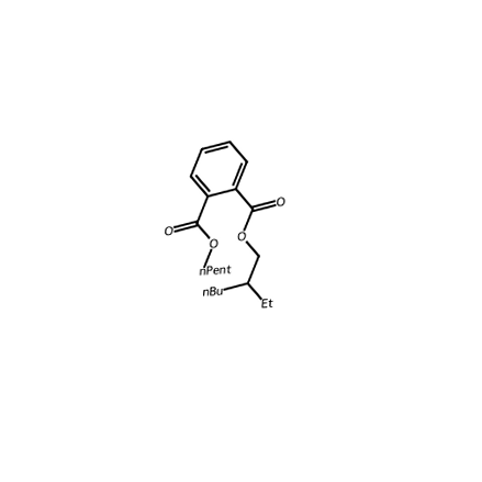 CCCCCOC(=O)c1ccccc1C(=O)OCC(CC)CCCC